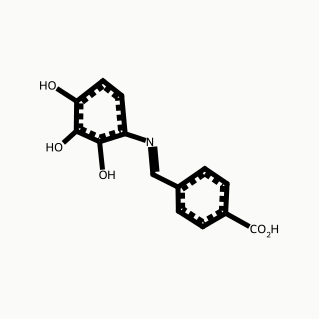 O=C(O)c1ccc(C=Nc2ccc(O)c(O)c2O)cc1